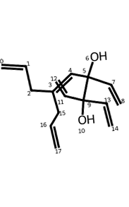 C=CCC(=CC(O)(C=C)C(O)(C=C)C=C)CC=C